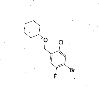 Fc1cc(COC2CCCCC2)c(Cl)cc1Br